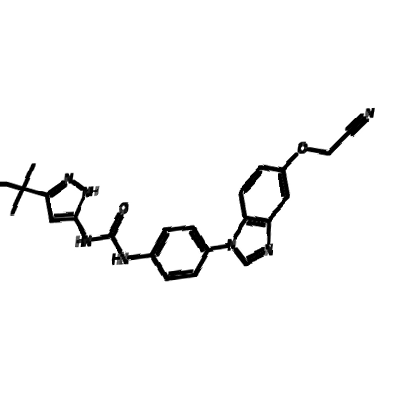 CC(C)(C)c1cc(NC(=O)Nc2ccc(-n3cnc4cc(OCC#N)ccc43)cc2)[nH]n1